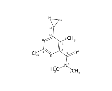 Cc1c(C(=O)N(C)C)cc(Cl)cc1C1CC1